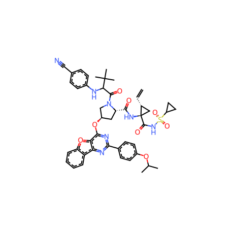 C=C[C@@H]1C[C@]1(NC(=O)[C@@H]1C[C@@H](Oc2nc(-c3ccc(OC(C)C)cc3)nc3c2oc2ccccc23)CN1C(=O)C(Nc1ccc(C#N)cc1)C(C)(C)C)C(=O)NS(=O)(=O)C1CC1